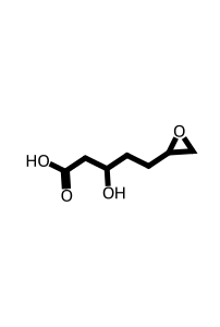 O=C(O)CC(O)CCC1CO1